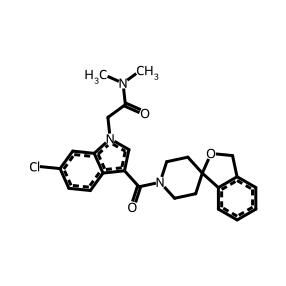 CN(C)C(=O)Cn1cc(C(=O)N2CCC3(CC2)OCc2ccccc23)c2ccc(Cl)cc21